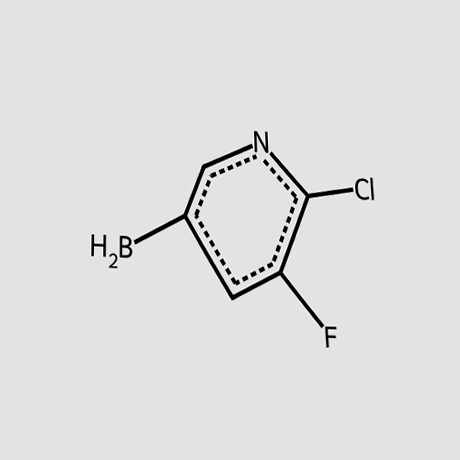 Bc1cnc(Cl)c(F)c1